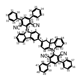 CC12CC(c3ccc4c(c3)c3ccccc3n4-c3c(C#N)c(-c4ccccc4)cc(-c4ccccc4)c3C#N)=CC=C1N(c1c(C#N)c(-c3ccccc3)cc(-c3ccccc3)c1C#N)c1ccccc12